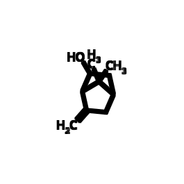 C=C1CC2CC(O)C1C2(C)C